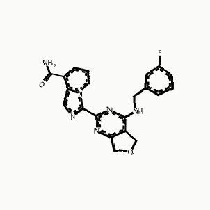 NC(=O)c1cccn2c(-c3nc4c(c(NCc5cccc(F)c5)n3)COC4)ncc12